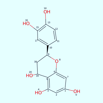 Oc1cc(O)c2c(c1)O[C@H](c1ccc(O)c(O)c1)CC2O